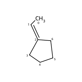 CC=C1CCCC1